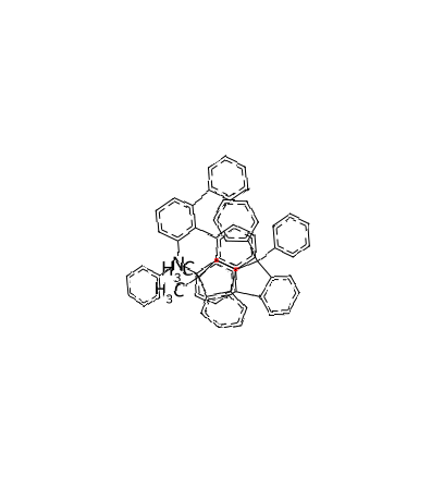 CC1(C)c2ccccc2-c2cccc(-c3c(-c4ccccc4)cccc3N(c3ccccc3)c3ccc4c(c3)C(c3ccccc3)(c3ccccc3)c3ccccc3-4)c21